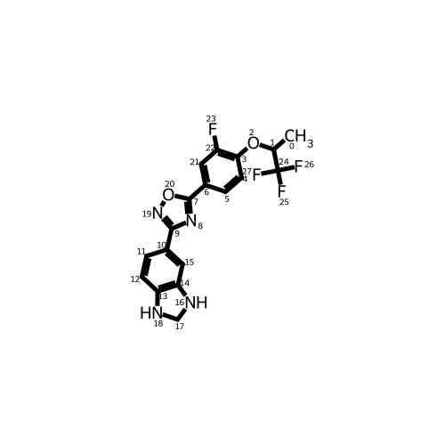 CC(Oc1ccc(-c2nc(-c3ccc4c(c3)NCN4)no2)cc1F)C(F)(F)F